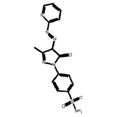 CC1=NN(c2ccc(S(N)(=O)=O)cc2)C(=O)C1/N=N/c1ccccn1